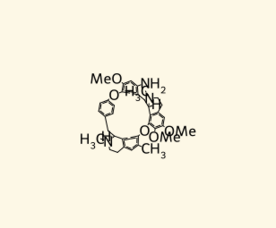 COc1cc(N)c2cc1Oc1ccc(cc1)C[C@H]1c3cc(c(C)cc3CCN1C)Oc1c(OC)c(OC)cc3c1[C@H](C2)N(C)CC3